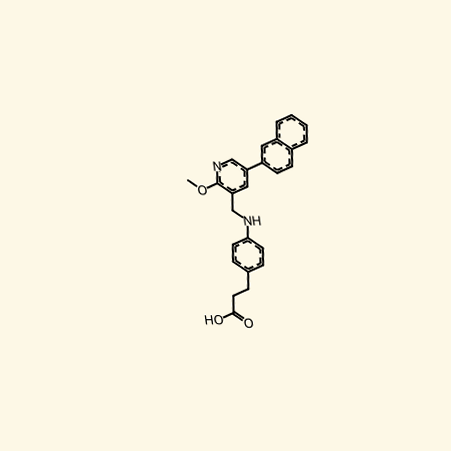 COc1ncc(-c2ccc3ccccc3c2)cc1CNc1ccc(CCC(=O)O)cc1